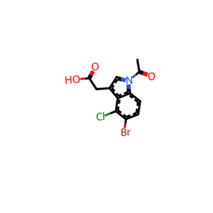 CC(=O)n1cc(CC(=O)O)c2c(Cl)c(Br)ccc21